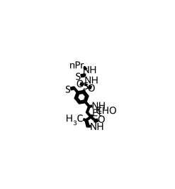 CCCNC(=S)NS(=O)(=O)c1cc(C(CC2(CC)C(=O)NC=C2C)NC=O)ccc1C=S